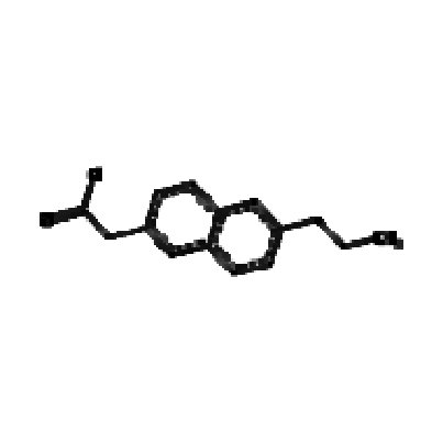 CCCc1ccc2cc(CC(=O)Cl)ccc2c1